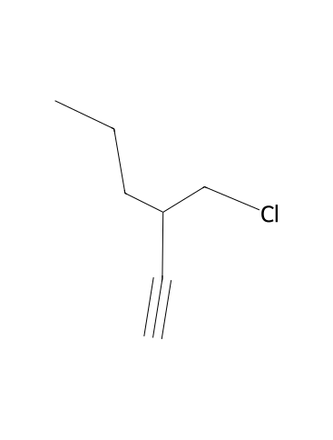 C#CC(CCl)CCC